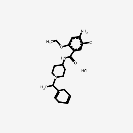 CCOc1cc(N)c(Cl)cc1C(=O)NC1CCN(C(C)C2=CCC=CC2)CC1.Cl